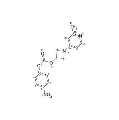 O=C(Oc1ccc([N+](=O)[O-])cc1)OC1CN(c2ccnc(C(F)(F)F)c2)C1